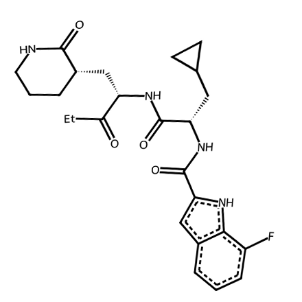 CCC(=O)[C@H](C[C@@H]1CCCNC1=O)NC(=O)[C@H](CC1CC1)NC(=O)c1cc2cccc(F)c2[nH]1